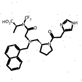 C[C@@H](C(=O)O)N(C(=O)CN(Cc1cccc2ccccc12)C[C@@H]1CCCN1C(=O)Cc1c[nH]cn1)C(F)(F)F